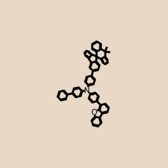 CC1(C)c2ccccc2C2(c3ccccc3-c3cc(-c4ccc(N(c5ccc(-c6ccccc6)cc5)c5ccc(-c6cccc7c6oc6ccccc67)cc5)cc4)ccc32)c2ccccc21